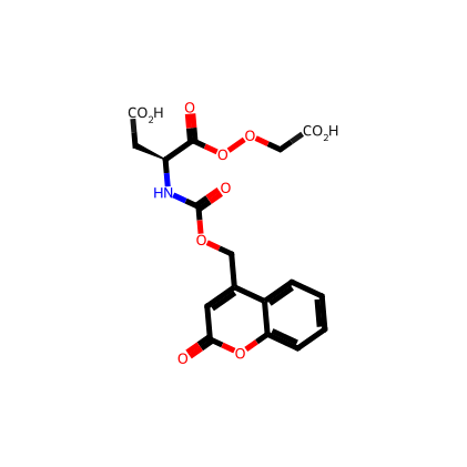 O=C(O)COOC(=O)[C@H](CC(=O)O)NC(=O)OCc1cc(=O)oc2ccccc12